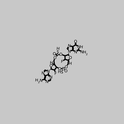 Nc1nc2c(ncn2[C@@H]2O[C@@H]3COP(=O)(S)OC4C(F)[C@H](n5cnc6c(N)ncnc65)O[C@@H]4COP(=O)(S)OC2C3F)c(=O)[nH]1